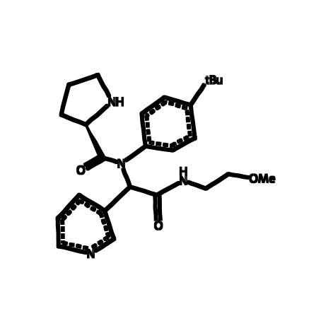 COCCNC(=O)C(c1cccnc1)N(C(=O)[C@H]1CCCN1)c1ccc(C(C)(C)C)cc1